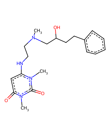 CN(CCNc1cc(=O)n(C)c(=O)n1C)CC(O)CCc1ccccc1